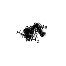 CC[C@H](C)[C@@H]([C@@H](CC(=O)N1CCC[C@H]1[C@H](OC)[C@@H](C)C(=O)N[C@@H](Cc1ccccc1)c1nccs1)OC)N(C)C(=O)[C@@H](NC(=O)C(C)(C)NC(=O)OCc1ccc(NC(=O)[C@H](CCCNC(N)=O)NC(=O)[C@@H](NC(=O)[C@H](CCCCN)NC(=O)CC(C)C)C(C)C)cc1)C(C)C